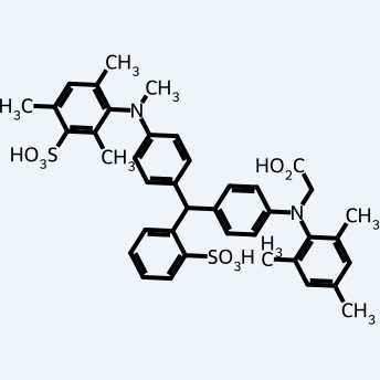 Cc1cc(C)c(N(CC(=O)O)c2ccc(C(c3ccc(N(C)c4c(C)cc(C)c(S(=O)(=O)O)c4C)cc3)c3ccccc3S(=O)(=O)O)cc2)c(C)c1